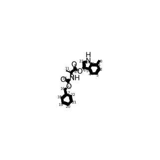 Cc1cccc2c(OC(=O)[C@H](C)NC(=O)OCc3ccccc3)c[nH]c12